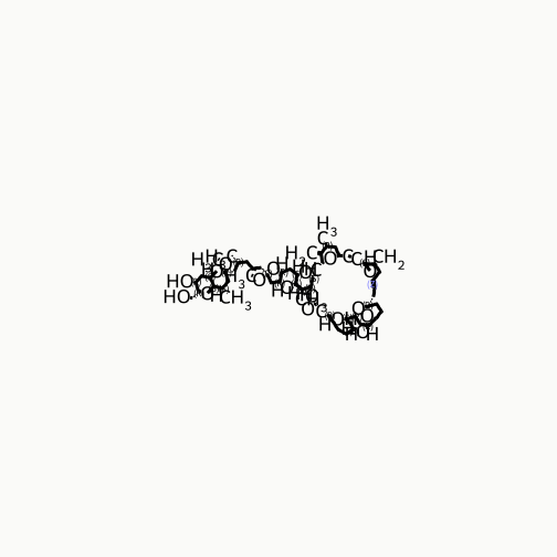 C=C1C2C[C@@H]3O[C@H]4C[C@H]5O[C@](CCC[C@@H](C)C[C@]6(OC)C[C@H](C)[C@@H]7O[C@H](CO)[C@H](O)C[C@@H]7O6)(OC)C[C@H]5O[C@H]4[C@H](C)[C@H]3OC(=O)C[C@H]3CC[C@@H]4O[C@@H]5C[C@@H](O[C@@]6(C/C=C7/CC(=C)[C@H](CCC(C[C@H]1C)O2)O7)CCC5O6)[C@H]4O3